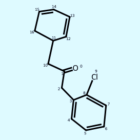 O=C(Cc1ccccc1Cl)CC1C=CC=CC1